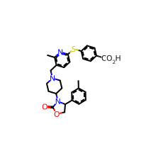 Cc1cccc(C2COC(=O)N2C2CCN(Cc3ccc(Sc4ccc(C(=O)O)cc4)nc3C)CC2)c1